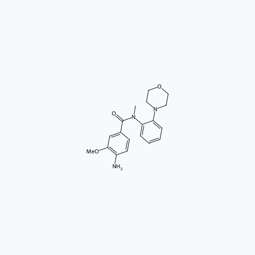 COc1cc(C(=O)N(C)c2ccccc2N2CCOCC2)ccc1N